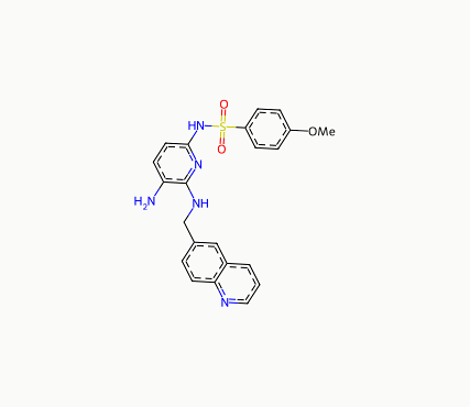 COc1ccc(S(=O)(=O)Nc2ccc(N)c(NCc3ccc4ncccc4c3)n2)cc1